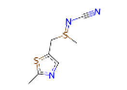 Cc1ncc(C/S(C)=N/C#N)s1